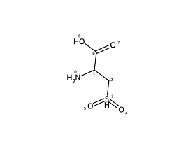 NC(C[SH](=O)=O)C(=O)O